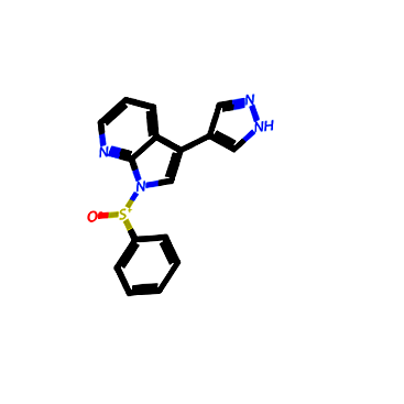 [O-][S+](c1ccccc1)n1cc(-c2cn[nH]c2)c2cccnc21